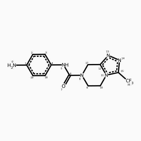 Nc1ccc(NC(=O)N2CCn3c(nnc3C(F)(F)F)C2)cc1